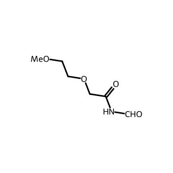 COCCOCC(=O)NC=O